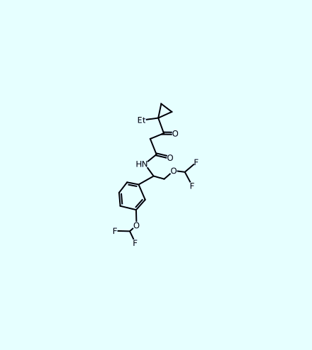 CCC1(C(=O)CC(=O)NC(COC(F)F)c2cccc(OC(F)F)c2)CC1